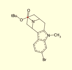 Cn1c2c(c3ccc(Br)cc31)C1CCCC(C2)N1C(=O)OC(C)(C)C